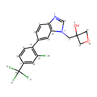 OC1(Cn2cnc3ccc(-c4ccc(C(F)(F)F)cc4F)cc32)COC1